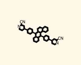 N#Cc1cc(-c2ccc(-c3c4ccccc4c(-c4ccc(-c5ccnc(C#N)c5)cc4)c4c3ccc3ccccc34)cc2)ccn1